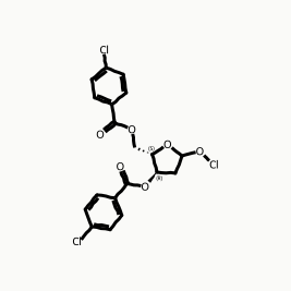 O=C(OC[C@@H]1OC(OCl)C[C@H]1OC(=O)c1ccc(Cl)cc1)c1ccc(Cl)cc1